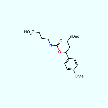 CCCCCCCCCCCCC(OC(=O)NCCCC(=O)O)c1ccc(OC)cc1